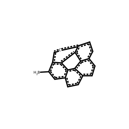 Bc1cc2ccc3ccc4ccc5ccc1c1c5c4c3c21